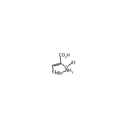 CCC=C(OCC)C(=O)O.CCCCN